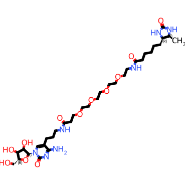 C[C@@H]1NC(=O)N[C@@H]1CCCCCC(=O)NCCOCCOCCOCCOCCC(=O)NCCCc1cn([C@@H]2O[C@H](CO)C(O)C2O)c(=O)nc1N